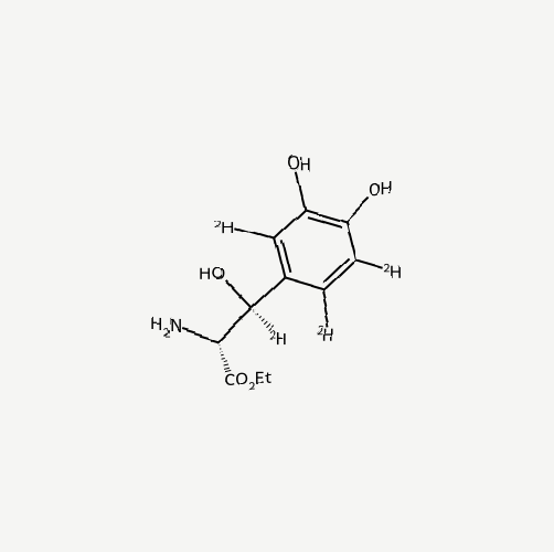 [2H]c1c([2H])c([C@]([2H])(O)[C@@H](N)C(=O)OCC)c([2H])c(O)c1O